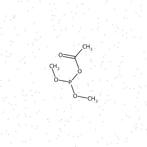 COP(OC)OC(C)=O